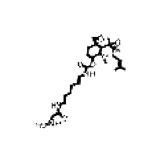 COC1C(OC(=O)NCCCCCCNC(=O)CNS)CCC2(CO2)C1[C@]1(C)O[C@@H]1CC=C(C)C